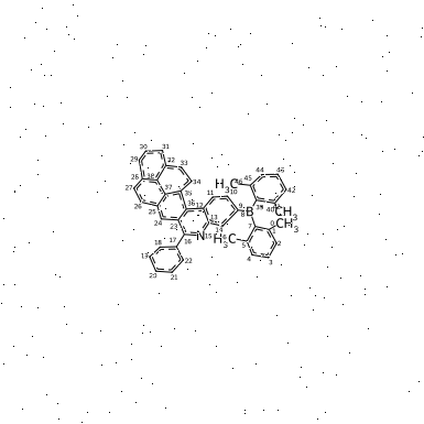 Cc1cccc(C)c1B(c1ccc2c(c1)nc(-c1ccccc1)c1cc3ccc4cccc5ccc(c12)c3c45)c1c(C)cccc1C